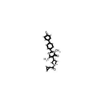 Cc1nc(-c2ccc(-c3ccc(F)cc3)cc2)n(C)c(=O)c1C1CCN(C(=O)C2CC2)C1